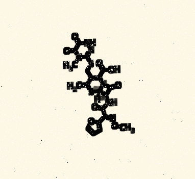 C=C1S[C@@H]2[C@H](NC(=O)C(=NOC)c3ccco3)C(=O)N2C(C(=O)O)=C1CSc1n[nH]c(=O)c(=O)n1C